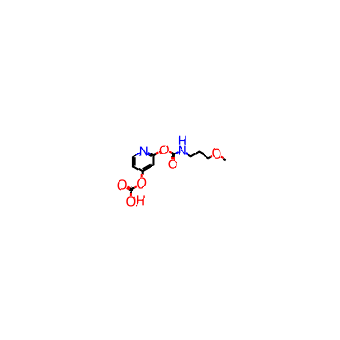 COCCCNC(=O)Oc1cc(OC(=O)O)ccn1